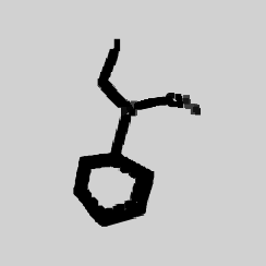 CN(CI)c1ccccc1